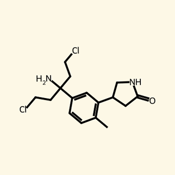 Cc1ccc(C(N)(CCCl)CCCl)cc1C1CNC(=O)C1